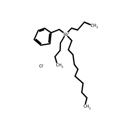 CCCCCCCCC[CH2][Sb+]([CH2]CCC)([CH2]CCC)[CH2]c1ccccc1.[Cl-]